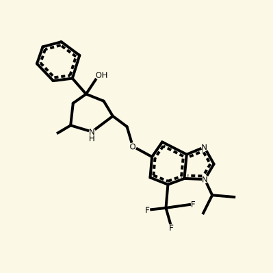 CC1CC(O)(c2ccccc2)CC(COc2cc(C(F)(F)F)c3c(c2)ncn3C(C)C)N1